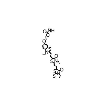 CCN1C(=O)C(=C/C=c2/sc(=CC=C3Sc4cc(OCCOC(=O)NC)ccc4N3CC)c(=O)n2CC)SC1=S